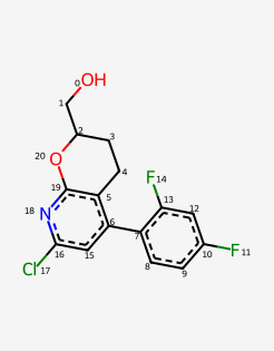 OCC1CCc2c(-c3ccc(F)cc3F)cc(Cl)nc2O1